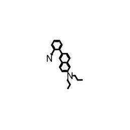 CCCN(CCC)c1ccc2cc(-c3ccccc3C#N)ccc2c1